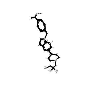 COC(=O)c1ccc(Cn2ccc3cc(C4CCN(CC(C)(O)CO)CC4)cnc32)cc1